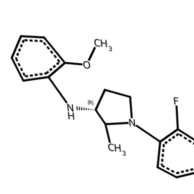 COc1ccccc1N[C@@H]1CCN(c2ccncc2F)C1C